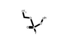 CCCOP(=O)(F)OCC(F)(F)F